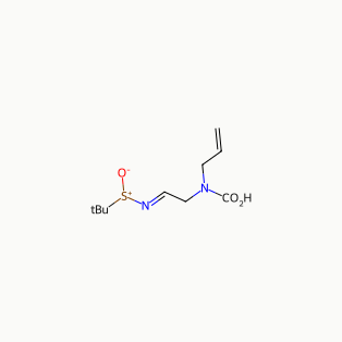 C=CCN(CC=N[S+]([O-])C(C)(C)C)C(=O)O